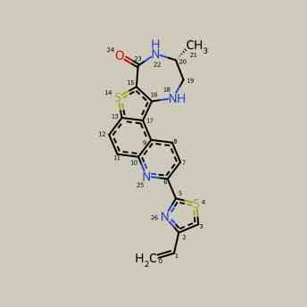 C=Cc1csc(-c2ccc3c(ccc4sc5c(c43)NC[C@@H](C)NC5=O)n2)n1